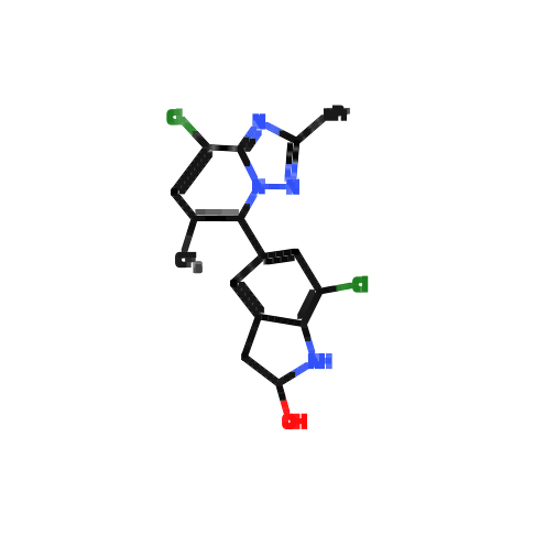 CCCc1nc2c(Cl)cc(C(F)(F)F)c(-c3cc(Cl)c4c(c3)CC(O)N4)n2n1